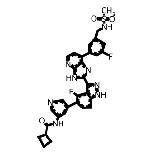 CS(=O)(=O)NCc1cc(F)cc(-c2ccnc3[nH]c(-c4n[nH]c5ccc(-c6cncc(NC(=O)C7CCC7)c6)c(F)c45)nc23)c1